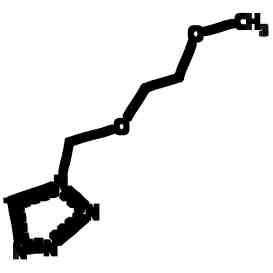 COCCOCn1[c]nnn1